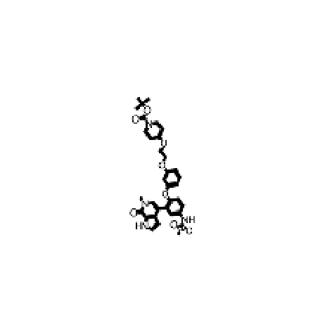 Cn1cc(-c2cc(NS(C)(=O)=O)ccc2Oc2cccc(OCCOC3CCN(C(=O)OC(C)(C)C)CC3)c2)c2cc[nH]c2c1=O